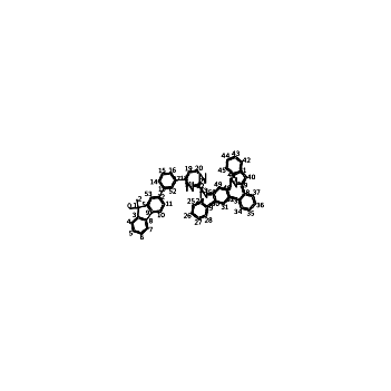 CC1(C)c2ccccc2-c2ccc(-c3cccc(-c4ccnc(-n5c6ccccc6c6cc7c8ccccc8c8cc9ccccc9n8c7cc65)n4)c3)cc21